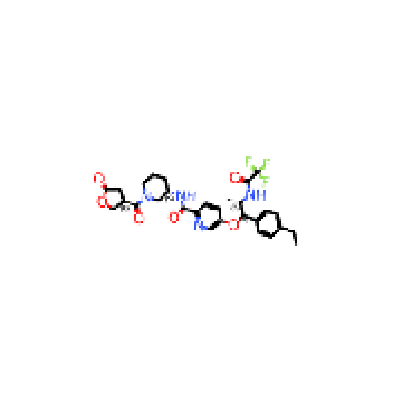 CCc1ccc([C@@H](Oc2ccc(C(=O)N[C@H]3CCCN(C(=O)[C@H]4COC(=O)C4)C3)nc2)[C@H](C)NC(=O)C(F)(F)F)cc1